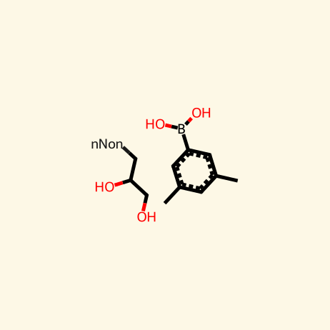 CCCCCCCCCCC(O)CO.Cc1cc(C)cc(B(O)O)c1